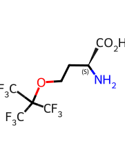 N[C@@H](CCOC(C(F)(F)F)(C(F)(F)F)C(F)(F)F)C(=O)O